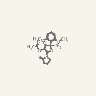 COc1cccc(OC)c1C1(C)OC(N2CCCC2=O)=C(OC(C)=O)C1=O